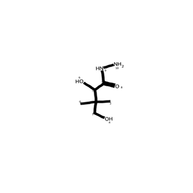 CC(C)(CO)C(O)C(=O)NN